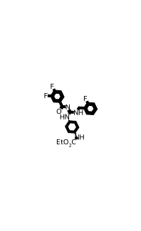 CCOC(=O)N[C@H]1CC[C@H](N/C(=N\C(=O)c2ccc(F)c(F)c2)NCc2ccccc2F)CC1